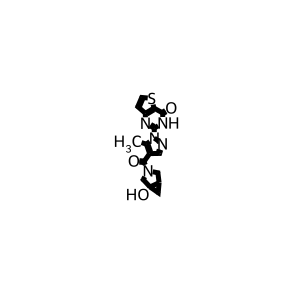 Cc1c(C(=O)N2CC3CC3(O)C2)cnn1-c1nc2ccsc2c(=O)[nH]1